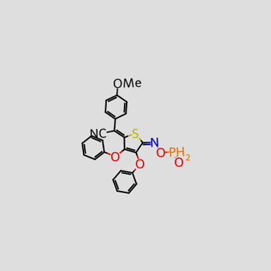 COc1ccc(C(C#N)=C2SC(=NO[PH2]=O)C(Oc3ccccc3)=C2Oc2ccccc2)cc1